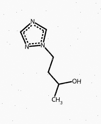 CC(O)CCn1cncn1